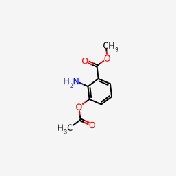 COC(=O)c1cccc(OC(C)=O)c1N